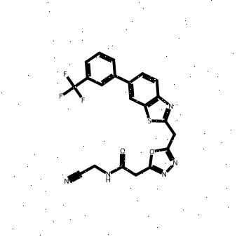 N#CCNC(=O)Cc1nnc(Cc2nc3ccc(-c4cccc(C(F)(F)F)c4)cc3s2)o1